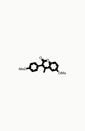 COc1ccc(-c2c(C)c3cc(OC)ccc3oc2=O)cc1